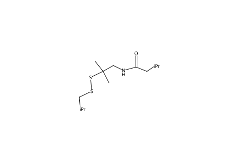 CC(C)CSSC(C)(C)CNC(=O)CC(C)C